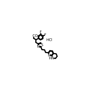 Cl.O=C(O)CC(Cc1csc(CCCc2ccc3c(n2)NCCC3)n1)c1ccc(F)c(F)c1